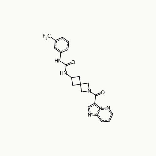 O=C(Nc1cccc(C(F)(F)F)c1)NC1CC2(C1)CN(C(=O)c1cnc3cccnn13)C2